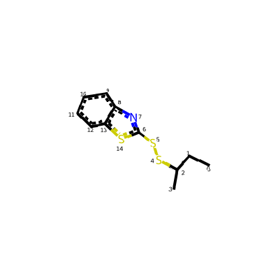 CCC(C)SSc1nc2ccccc2s1